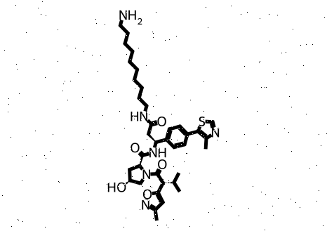 Cc1cc([C@H](C(=O)N2C[C@H](O)C[C@H]2C(=O)N[C@@H](CC(=O)NCCCCCCCCCCN)c2ccc(-c3scnc3C)cc2)C(C)C)on1